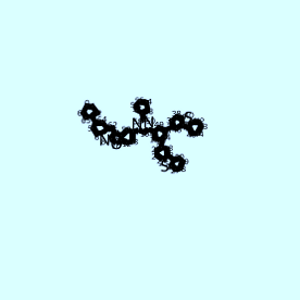 c1ccc(-c2ccc3nc4oc5ccc(-c6cc(-c7cc(-c8ccc9sc%10ccccc%10c9c8)cc(-c8ccc9sc%10ccccc%10c9c8)c7)nc(-c7ccccc7)n6)cc5c4cc3c2)cc1